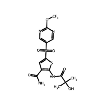 CC(C)(O)C(=O)Nc1sc(S(=O)(=O)c2cnc(OC(F)(F)F)nc2)cc1C(N)=O